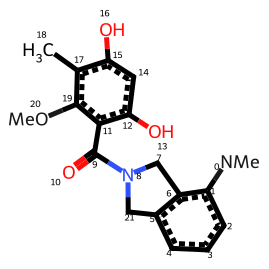 CNc1cccc2c1CN(C(=O)c1c(O)cc(O)c(C)c1OC)C2